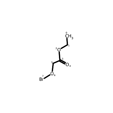 CCOC(=O)COBr